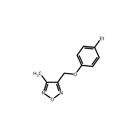 CCc1ccc(OCc2nonc2C)cc1